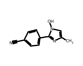 Cc1cn(O)c(-c2ccc(C#N)cc2)n1